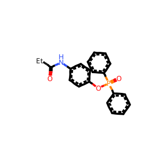 CCC(=O)Nc1ccc(OP(=O)(c2ccccc2)c2ccccc2)cc1